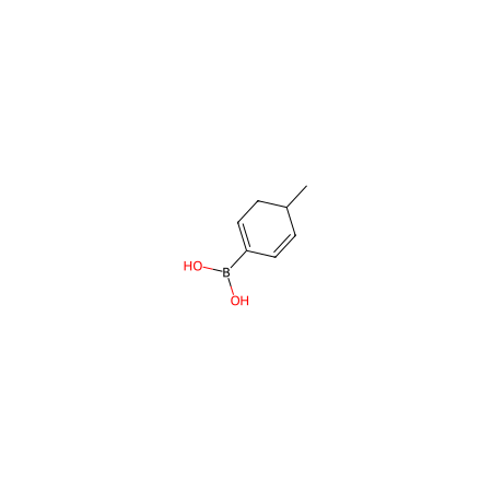 CC1C=CC(B(O)O)=CC1